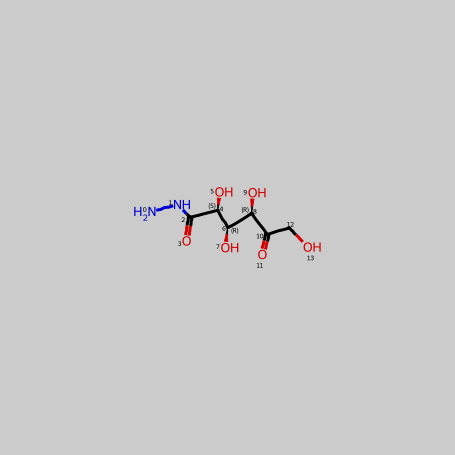 NNC(=O)[C@@H](O)[C@H](O)[C@@H](O)C(=O)CO